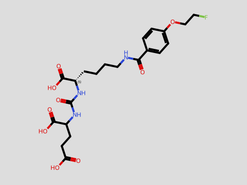 O=C(O)CCC(NC(=O)N[C@@H](CCCCNC(=O)c1ccc(OCCF)cc1)C(=O)O)C(=O)O